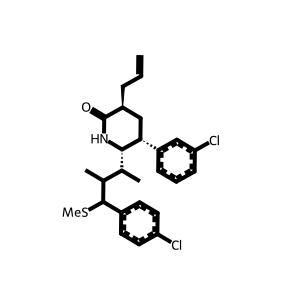 C=CC[C@H]1C[C@H](c2cccc(Cl)c2)[C@H](C(C)C(C)C(SC)c2ccc(Cl)cc2)NC1=O